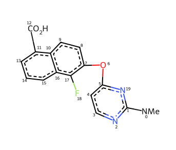 CNc1nccc(Oc2ccc3c(C(=O)O)cccc3c2F)n1